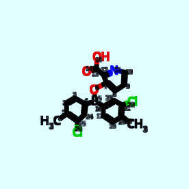 Cc1ccc(B(Oc2cccnc2C(=O)O)c2ccc(C)c(Cl)c2)cc1Cl